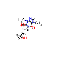 CN1c2ncn(C)c2C(=O)N(CCCCC2(O)CC2)C1O